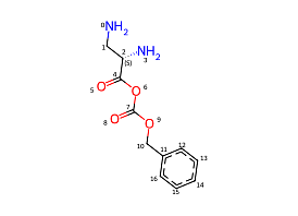 NC[C@H](N)C(=O)OC(=O)OCc1ccccc1